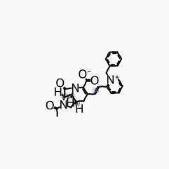 CC(=O)N1C[C@H]2CC(/C=C/c3cccc[n+]3Cc3ccccc3)=C(C(=O)[O-])N3C(=O)[C@@H]1[C@@H]23